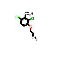 C=CCOc1ccc(Cl)c(C(=O)O)c1Cl